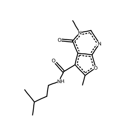 Cc1oc2ncn(C)c(=O)c2c1C(=O)NCCC(C)C